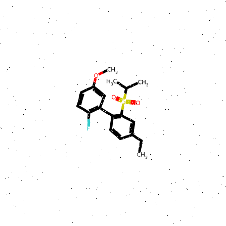 CCc1ccc(-c2cc(OC)ccc2F)c(S(=O)(=O)C(C)C)c1